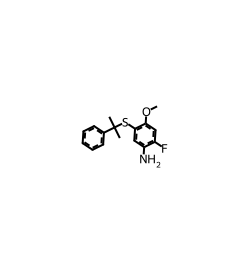 COc1cc(F)c(N)cc1SC(C)(C)c1ccccc1